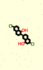 Oc1cc(Cl)cc2ccc(-c3ccc4cc(Cl)ccc4c3O)cc12